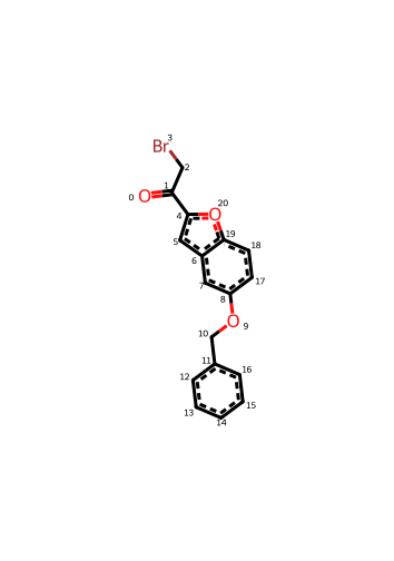 O=C(CBr)c1cc2cc(OCc3ccccc3)ccc2o1